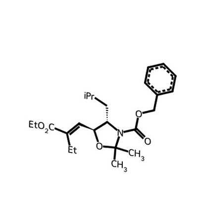 CCOC(=O)/C(=C/[C@@H]1OC(C)(C)N(C(=O)OCc2ccccc2)[C@H]1CC(C)C)CC